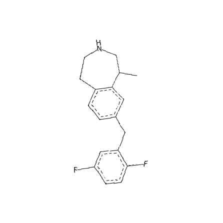 CC1CNCCc2ccc(Cc3cc(F)ccc3F)cc21